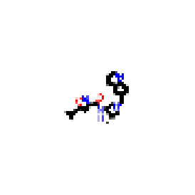 C[C@H]1CN(Cc2ccc3ncccc3c2)C[C@H]1NC(=O)c1cc(C2CC2)on1